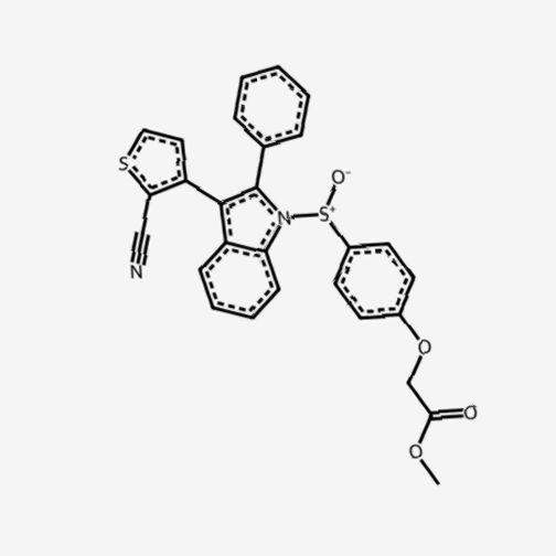 COC(=O)COc1ccc([S+]([O-])n2c(-c3ccccc3)c(-c3ccsc3C#N)c3ccccc32)cc1